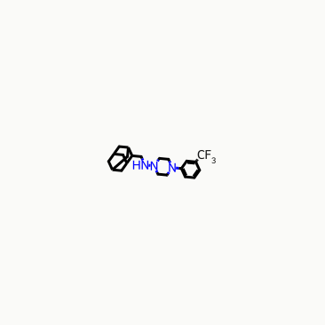 FC(F)(F)c1cccc(N2CCN(NCC3C4CC5CC(C4)CC3C5)CC2)c1